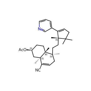 CC(=O)O[C@H]1CC[C@]2(C)[C@@](C)(CC[C@]3(C)C(c4cccnc4)=CCC3(C)C)CC=C(C#N)[C@@]2(C)C1